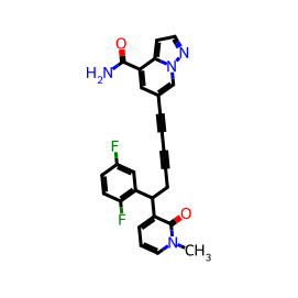 Cn1cccc(C(CC#CC#Cc2cc(C(N)=O)c3ccnn3c2)c2cc(F)ccc2F)c1=O